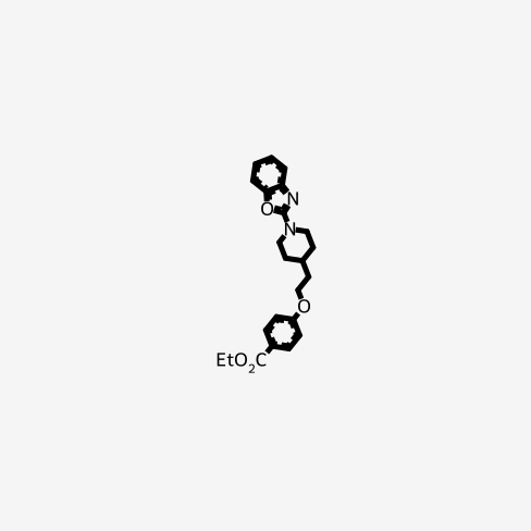 CCOC(=O)c1ccc(OCCC2CCN(c3nc4ccccc4o3)CC2)cc1